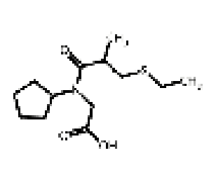 CCSCC(C)C(=O)N(CC(=O)O)C1CCCC1